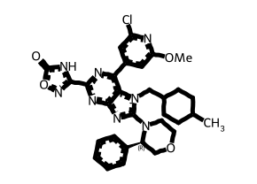 COc1cc(-c2nc(-c3noc(=O)[nH]3)nc3nc(N4CCOC[C@H]4c4ccccc4)n(CC4CCC(C)CC4)c23)cc(Cl)n1